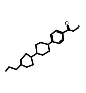 CCCC1CCC(C2CCC(c3ccc(C(=O)CF)cc3)CC2)CC1